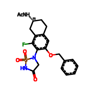 CC(=O)N[C@@H]1CCc2cc(OCc3ccccc3)c(N3CC(=O)NS3(=O)=O)c(F)c2C1